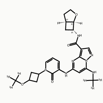 [2H]C([2H])([2H])Nc1cc(Nc2cccn(C3CC(OC([2H])([2H])[2H])C3)c2=O)nc2c(C(=O)N[C@@H]3C[C@H]4CCO[C@H]43)cnn12